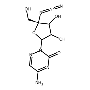 [N-]=[N+]=N[C@@]1(CO)OC(n2ncc(N)nc2=O)C(O)C1O